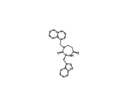 O=C1CCN(Cc2cccc3ccccc23)C(=O)[C@H](Cc2csc3ccccc23)N1